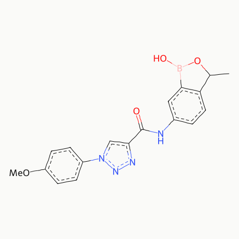 COc1ccc(-n2cc(C(=O)Nc3ccc4c(c3)B(O)OC4C)nn2)cc1